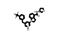 O=C(N[C@H]1CCOC1)c1cccc2c1CCN2c1cc(Cc2cccc(C(F)(F)F)c2)c[n+]([O-])c1